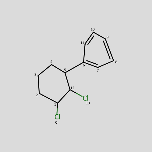 ClC1CCCC(c2ccccc2)C1Cl